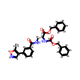 CCc1oncc1-c1cccc(C(=O)NC[C@@H](NC(=O)OCc2ccccc2)C(=O)OCc2ccccc2)c1